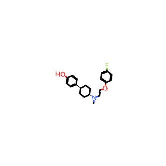 CN(CCOc1ccc(F)cc1)[C@H]1CC[C@H](c2ccc(O)cc2)CC1